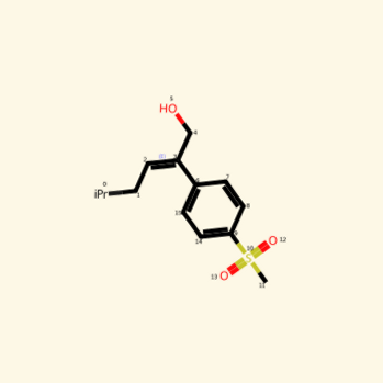 CC(C)C/C=C(/CO)c1ccc(S(C)(=O)=O)cc1